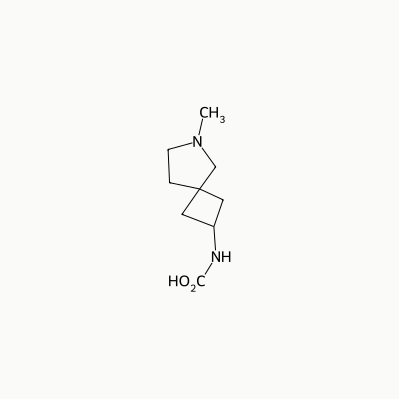 CN1CCC2(CC(NC(=O)O)C2)C1